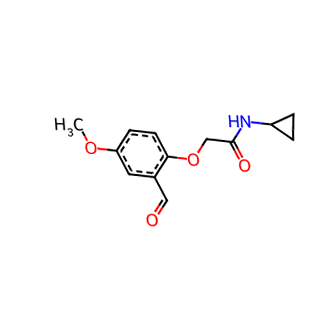 COc1ccc(OCC(=O)NC2CC2)c(C=O)c1